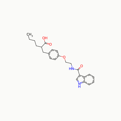 CCCCC(Cc1ccc(OCCNC(=O)c2c[nH]c3ccccc23)cc1)C(=O)O